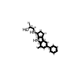 Cc1cc(-c2ccccc2)cc2c3c([nH]c12)C(NC[C@H](C)O)CC3